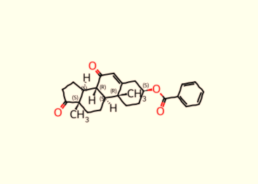 C[C@]12CC[C@H](OC(=O)c3ccccc3)CC1=CC(=O)[C@@H]1[C@@H]2CC[C@]2(C)C(=O)CC[C@@H]12